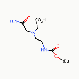 CC(C)(C)OC(=O)NCCN(CC(N)=O)CC(=O)O